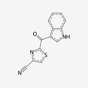 N#Cc1csc(C(=O)c2c[nH]c3ccccc23)n1